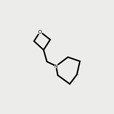 [CH]1CCN(CC2COC2)CC1